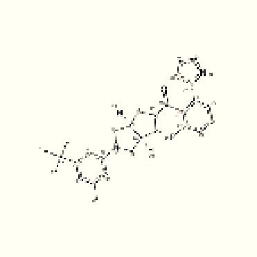 Cc1cc(C(C)(C)F)cc(N2C[C@H]3CN(C(=O)c4c(F)cccc4-n4nccn4)C[C@H]3C2)n1